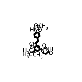 COc1c(/C=C/c2ccc(NS(C)(=O)=O)cc2)cc(N2CCC(=O)NC2=O)cc1C(C)(C)C